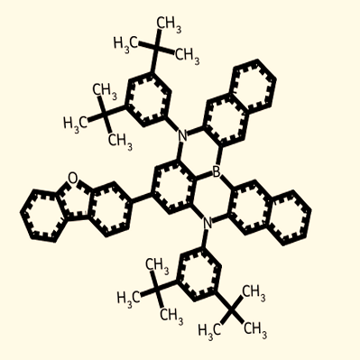 CC(C)(C)c1cc(N2c3cc4ccccc4cc3B3c4cc5ccccc5cc4N(c4cc(C(C)(C)C)cc(C(C)(C)C)c4)c4cc(-c5ccc6c(c5)oc5ccccc56)cc2c43)cc(C(C)(C)C)c1